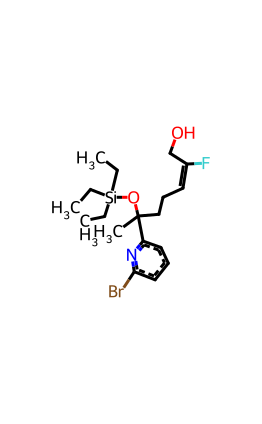 CC[Si](CC)(CC)OC(C)(CC/C=C(/F)CO)c1cccc(Br)n1